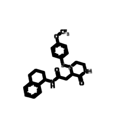 O=C(CC1C(=O)NCCN1Sc1ccc(OC(F)(F)F)cc1)NC1CCCc2ccccc21